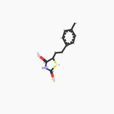 Cc1ccc(CCC2SC(=O)NC2=O)cc1